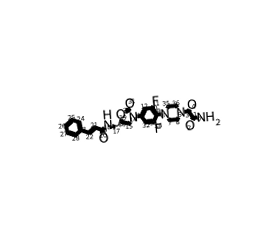 NC(=O)C(=O)N1CCN(c2c(F)cc(N3C[C@H](CNC(=O)C=Cc4ccccc4)OC3=O)cc2F)CC1